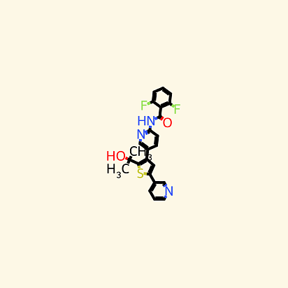 CC(C)(O)c1sc(-c2cccnc2)cc1-c1ccc(NC(=O)c2c(F)cccc2F)nc1